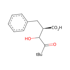 CC(C)(C)C(=O)C(O)[C@@H](Cc1ccccc1)C(=O)O